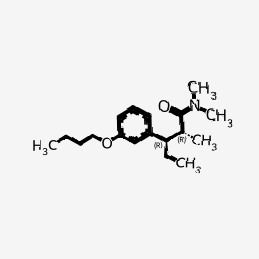 CCCCOc1cccc([C@H](CC)[C@@H](C)C(=O)N(C)C)c1